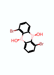 OB1c2cccc(Br)c2B(O)c2cccc(Br)c21